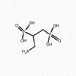 NCC(CP(=O)(O)O)P(=O)(O)O